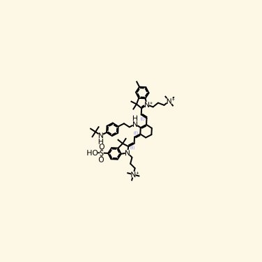 Cc1ccc2c(c1)C(C)(C)C(/C=C/C1=C(NCCc3ccc(NC(C)(C)C)cc3)C(=C/C=C3/N(CCC[N+](C)(C)C)c4ccc(S(=O)(=O)O)cc4C3(C)C)/CCC1)=[N+]2CCC[N+](C)(C)C